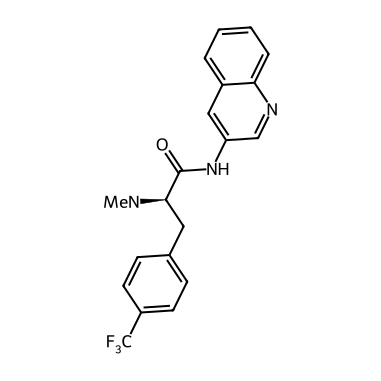 CN[C@H](Cc1ccc(C(F)(F)F)cc1)C(=O)Nc1cnc2ccccc2c1